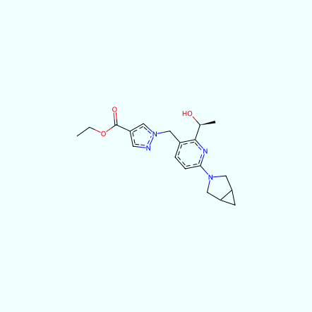 CCOC(=O)c1cnn(Cc2ccc(N3CC4CC4C3)nc2[C@H](C)O)c1